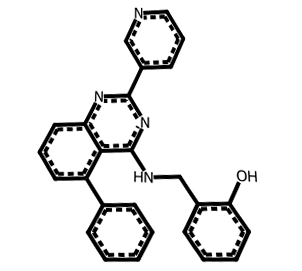 Oc1ccccc1CNc1nc(-c2cccnc2)nc2cccc(-c3ccccc3)c12